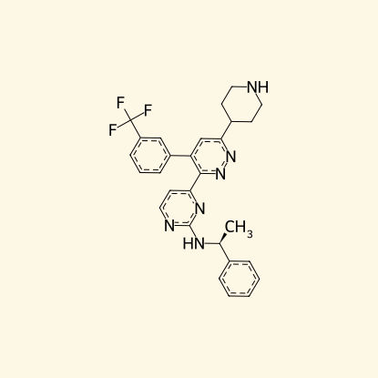 C[C@H](Nc1nccc(-c2nnc(C3CCNCC3)cc2-c2cccc(C(F)(F)F)c2)n1)c1ccccc1